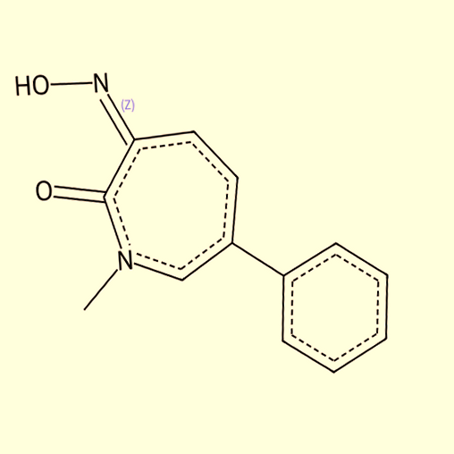 Cn1cc(-c2ccccc2)cc/c(=N/O)c1=O